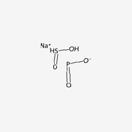 O=P[O-].O=[SH]O.[Na+]